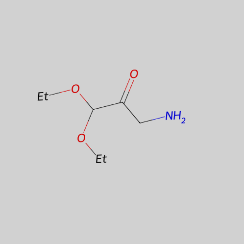 CCOC(OCC)C(=O)CN